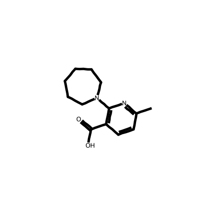 Cc1ccc(C(=O)O)c(N2CCCCCC2)n1